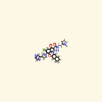 CN1CCC[C@H]1CCNC(=O)c1cn2c3c(c(N4CCC(c5cnccn5)C4)c(F)cc3c1=O)Oc1cc3ccccc3cc1-2